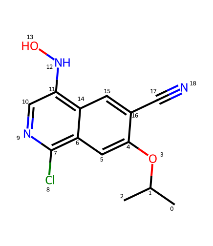 CC(C)Oc1cc2c(Cl)ncc(NO)c2cc1C#N